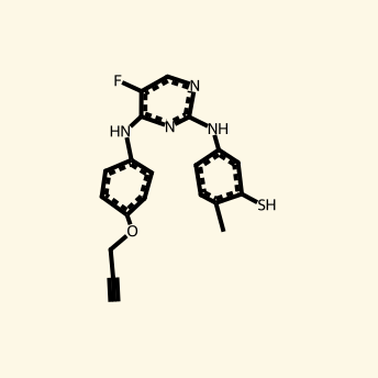 C#CCOc1ccc(Nc2nc(Nc3ccc(C)c(S)c3)ncc2F)cc1